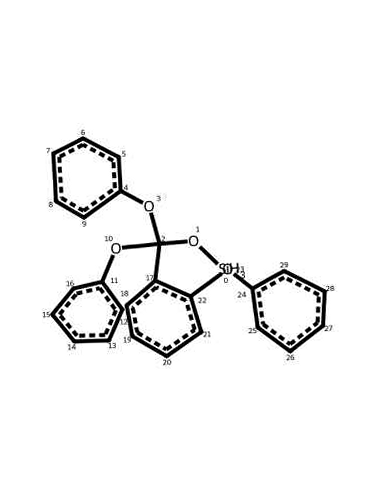 [SiH3]OC(Oc1ccccc1)(Oc1ccccc1)c1ccccc1Oc1ccccc1